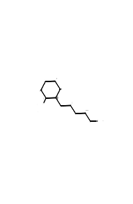 O=C(O)C1CC[CH]CC1CCCCCO